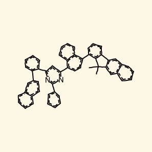 CC1(C)c2cc3ccccc3cc2-c2cccc(-c3ccc(-c4cc(-c5ccccc5-c5ccc6ccccc6c5)nc(-c5ccccc5)n4)c4ccccc34)c21